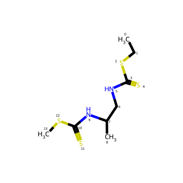 CCSC(=S)NCC(C)NC(=S)SC